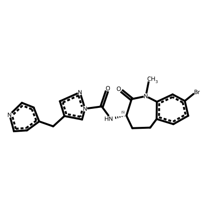 CN1C(=O)[C@@H](NC(=O)n2cc(Cc3ccncc3)cn2)CCc2ccc(Br)cc21